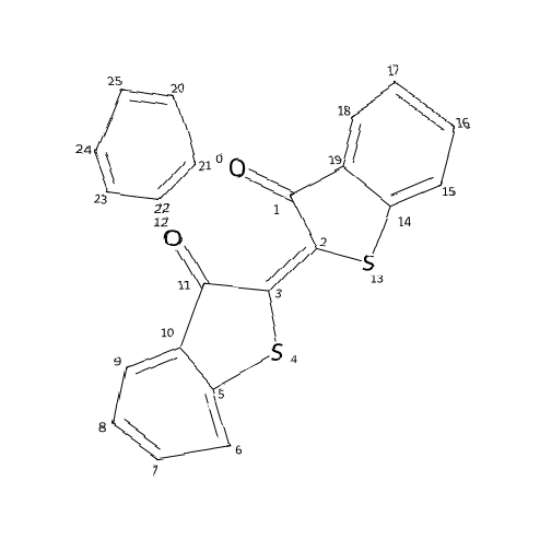 O=C1/C(=C2/Sc3ccccc3C2=O)Sc2ccccc21.c1ccccc1